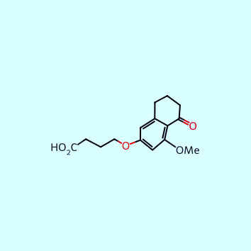 COc1cc(OCCCC(=O)O)cc2c1C(=O)CCC2